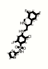 CNC(CNc1cc(F)c(S(=O)(=O)Nc2nccs2)cc1Cl)Cc1cc(F)cc(F)c1